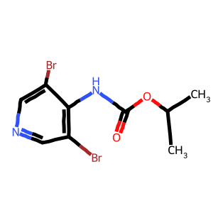 CC(C)OC(=O)Nc1c(Br)cncc1Br